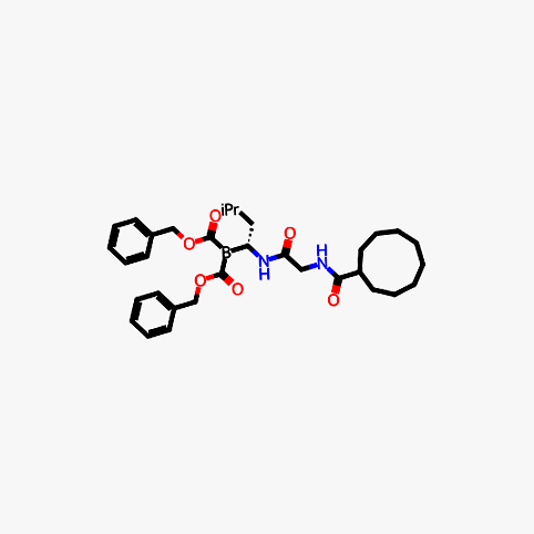 CC(C)C[C@H](NC(=O)CNC(=O)C1CCCCCCCC1)B(C(=O)OCc1ccccc1)C(=O)OCc1ccccc1